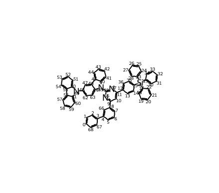 c1ccc(-c2cccc(-c3cc(-c4ccc([Si](c5ccccc5)(c5ccccc5)c5ccccc5)cc4)nc(-n4c5ccccc5c5cc(-n6c7ccccc7c7ccccc76)ccc54)n3)c2)cc1